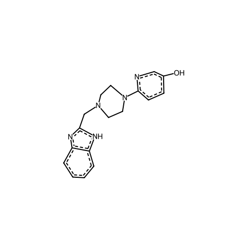 Oc1ccc(N2CCN(Cc3nc4ccccc4[nH]3)CC2)nc1